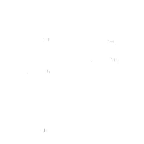 NC(CCc1ccccc1)C(N)S(=O)(=O)c1ccc(C(=O)[C@H](Cc2ccc(O)cc2)NC(=O)C2CNCCO2)cc1